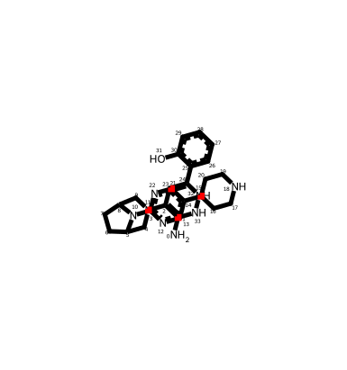 NC1=C(N2CC3CCC(C2)N3c2ncc(C3CCNCC3)cn2)C=C(c2ccccc2O)NN1